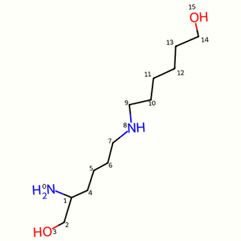 NC(CO)CCCCNCCCCCCO